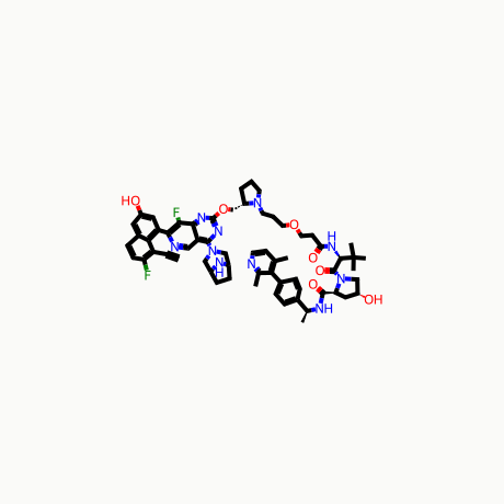 C#Cc1c(F)ccc2cc(O)cc(-c3ncc4c(N5CC6CCC(C5)N6)nc(OC[C@@H]5CCCN5CCCOCCC(=O)N[C@H](C(=O)N5C[C@H](O)C[C@H]5C(=O)N[C@@H](C)c5ccc(-c6c(C)ccnc6C)cc5)C(C)(C)C)nc4c3F)c12